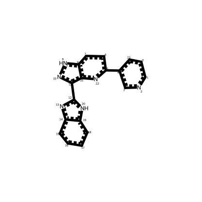 c1cncc(-c2ccc3[nH]nc(-c4nc5ccccc5[nH]4)c3n2)c1